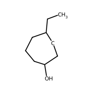 CCC1CCCC(O)CC1